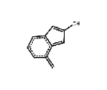 C=c1cccc2c1=CC(O)=C2